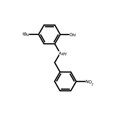 CC(C)(C)c1ccc(O)c([AsH]Cc2cccc([N+](=O)[O-])c2)c1